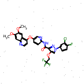 COc1cc2nccc(Oc3ccc(NC(=O)c4nn(-c5ccc(F)c(Cl)c5)cc4OCC(F)(F)F)nc3)c2cc1OC